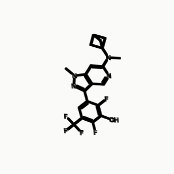 CN(c1cc2c(cn1)c(-c1cc(C(F)(F)F)c(F)c(O)c1F)nn2C)C12CC(C1)C2